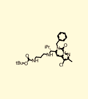 Cc1nn2c(=O)n(Cc3ccccc3)c([C@H](NCCCNC(=O)OC(C)(C)C)C(C)C)cc2c1Cl